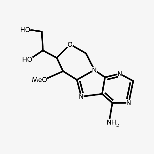 COC1c2nc3c(N)ncnc3n2COC1C(O)CO